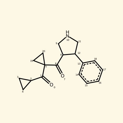 O=C(C1CC1)C1(C(=O)C2CNCC2c2ccccc2)CC1